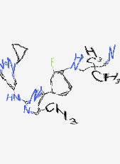 Cc1cnc(Nc2cnn(C3CC3)c2)nc1-c1ccc(NCC(C)(C)C#N)c(F)c1